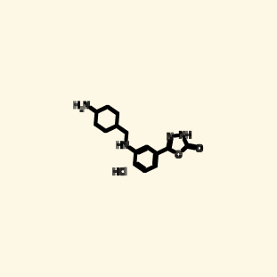 Cl.NC1CCC(CNc2cccc(-c3n[nH]c(=O)o3)c2)CC1